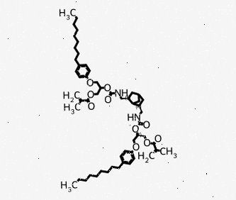 C=C(C)C(=O)OCC(COc1ccc(CCCCCCCCC)cc1)OC(=O)NC[C@H]1CC2CC1[C@H](CNC(=O)O[C@@H](COC(=O)C(=C)C)COc1ccc(CCCCCCCCC)cc1)C2